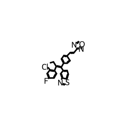 CCC(=C(c1ccc(C=Cc2ncon2)cc1)c1ccc2scnc2c1)c1ccc(F)cc1Cl